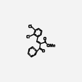 COC(=O)/C(=C\c1cccc(Cl)c1Cl)C(=O)c1ccccc1